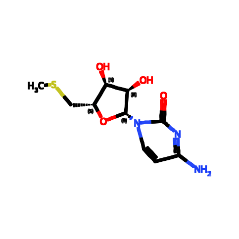 CSC[C@H]1O[C@@H](n2ccc(N)nc2=O)[C@H](O)[C@@H]1O